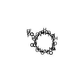 CC(C)C[C@H]1C(=O)N[C@@H](C2CCCCC2)C(=O)N(C)CC(=O)N(C)CC(=O)N(C)[C@@H](CC2CCCCC2)C(=O)N(C)CC(=O)N[C@@H](CCc2ccc(C(F)(F)F)c(F)c2)C(=O)N2CCC[C@H]2C(=O)NC2(CCCC2)C(=O)N(C)[C@@H](CC(C)C)C(=O)N[C@H](C)CC(=O)N1C